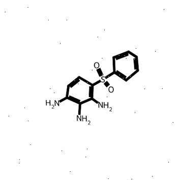 Nc1ccc(S(=O)(=O)c2ccccc2)c(N)c1N